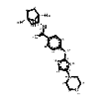 O=C(N[C@@H]1C[C@H]2CC[C@@H]1N2)c1ccc(Sc2nc(N3CCOCC3)cs2)cc1